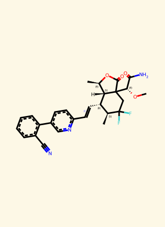 CO[C@@H](C(N)=O)C12CC(F)(F)[C@@H](C)[C@H](/C=C/c3ccc(-c4ccccc4C#N)cn3)[C@@H]1[C@@H](C)OC2=O